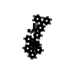 CC1(C)c2cc(-c3c4ccccc4c(-c4cccc5c4C(c4ccccc4)(c4ccccc4)c4ccccc4-5)c4ccccc34)ccc2-c2ccc(N(c3ccccc3)c3ccccc3)cc21